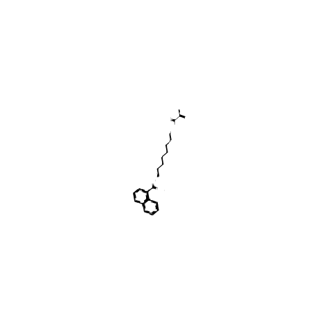 C=C(C)C(=O)OCCCCCCCCOC(=O)c1cccc2ccccc12